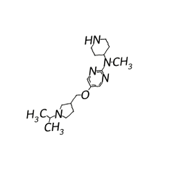 CC(C)N1CCC(COc2cnc(N(C)C3CCNCC3)nc2)C1